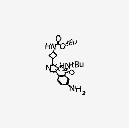 CC(C)(C)NS(=O)(=O)c1cc(N)ccc1-c1cnc(C2CC(NC(=O)OC(C)(C)C)C2)s1